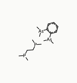 CP(C)CCP(C)C.C[As](C)c1ccccc1[As](C)C